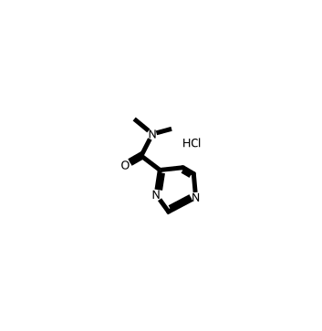 CN(C)C(=O)c1ccncn1.Cl